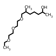 CCOCCOCCOCC(C)CCCC(C)O